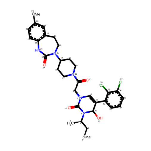 COC[C@@H](C)N1C(=O)N(CC(=O)N2CCC(N3CCc4cc(OC)ccc4NC3=O)CC2)C=C(c2cccc(Cl)c2Cl)C1O